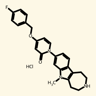 Cl.Cn1c2c(c3ccc(-n4ccc(OCc5ccc(F)cc5)cc4=O)cc31)CCNCC2